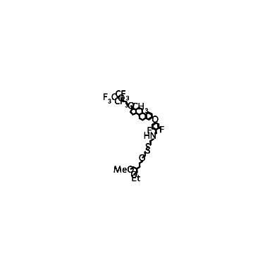 CCOCC(CCCOCCSSCCCNCc1c(F)cc(Oc2ccc3c(c2)CCC2C3CCC3(C)C(OCCCOC(C(F)(F)F)(C(F)(F)F)C(F)(F)F)CCC23)cc1F)COC